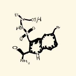 CCN(NS(=O)(=O)c1c(C(N)=O)[nH]c2ccc(Br)cc12)C(=O)O